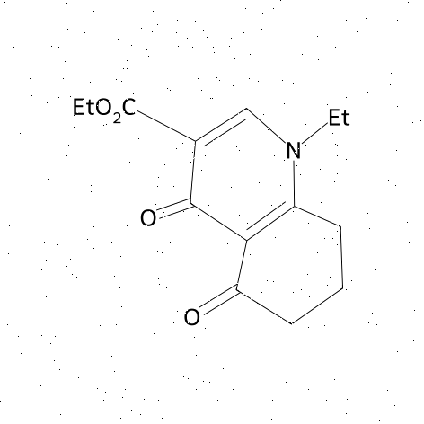 CCOC(=O)c1cn(CC)c2c(c1=O)C(=O)CCC2